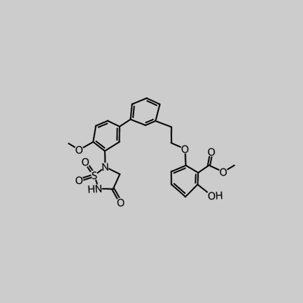 COC(=O)c1c(O)cccc1OCCc1cccc(-c2ccc(OC)c(N3CC(=O)NS3(=O)=O)c2)c1